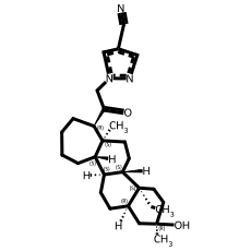 CC[C@]12CC[C@@](C)(O)C[C@H]1CC[C@H]1[C@@H]3CCCC[C@@H](C(=O)Cn4cc(C#N)cn4)[C@@]3(C)CC[C@@H]12